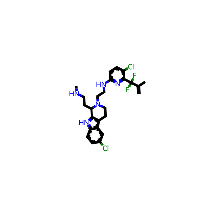 C=C(C)C(F)(F)c1nc(NCCN2CCc3c([nH]c4ccc(Cl)cc34)C2CCNC)ccc1Cl